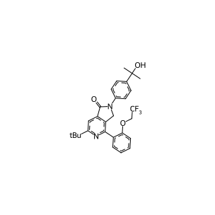 CC(C)(C)c1cc2c(c(-c3ccccc3OCC(F)(F)F)n1)CN(c1ccc(C(C)(C)O)cc1)C2=O